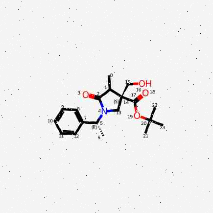 CC1C(=O)N([C@H](C)c2ccccc2)C[C@@]1(CO)C(=O)OC(C)(C)C